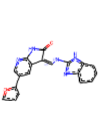 O=C1Nc2ncc(-c3ccco3)cc2/C1=C/Nc1nc2ccccc2[nH]1